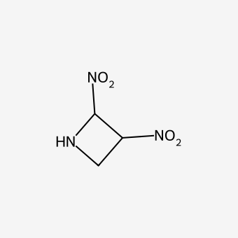 O=[N+]([O-])C1CNC1[N+](=O)[O-]